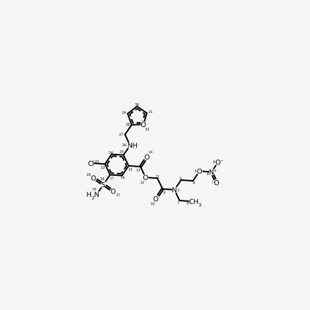 CCN(CCO[N+](=O)[O-])C(=O)COC(=O)c1cc(S(N)(=O)=O)c(Cl)cc1NCc1ccco1